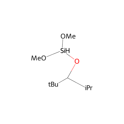 CO[SiH](OC)OC(C(C)C)C(C)(C)C